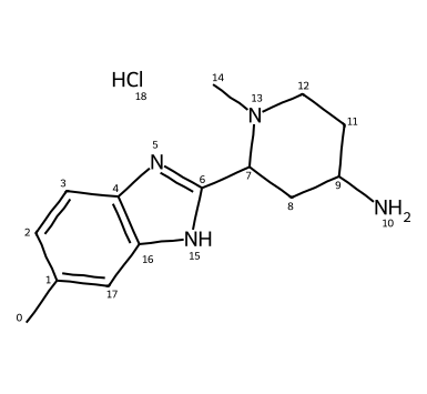 Cc1ccc2nc(C3CC(N)CCN3C)[nH]c2c1.Cl